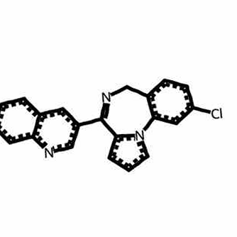 Clc1ccc2c(c1)-n1cccc1C(c1cnc3ccccc3c1)=NC2